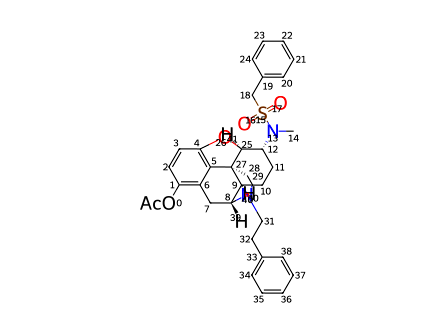 CC(=O)Oc1ccc2c3c1C[C@@H]1[C@@H]4CC[C@@H](N(C)S(=O)(=O)Cc5ccccc5)[C@H](O2)[C@]34CCN1CCc1ccccc1